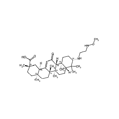 CONCCN[C@H]1CC[C@]2(C)[C@H]3C(=O)C=C4[C@@H]5C[C@@](C)(C(=O)O)CC[C@]5(C)CC[C@@]4(C)[C@]3(C)CC[C@H]2C1(C)C